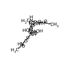 C=C(CN(CCN(CCN(CC(=O)O)CC(=O)NCCOCCOCCNC(=O)CCCCC)CC(=O)O)CC(=O)O)NCCOCCOCCNC(=O)CCCCC